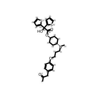 CC(=O)Cc1ccc(OCCCN(C)[C@H]2CC[C@H](OC(=O)C(O)(c3cccs3)c3cccs3)CC2)cc1